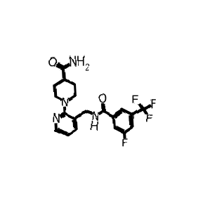 NC(=O)C1CCN(c2ncccc2CNC(=O)c2cc(F)cc(C(F)(F)F)c2)CC1